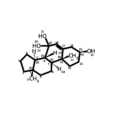 C[C@@]12CCC[C@H]1[C@H]1[C@H](CC2)[C@@]2(C)CC[C@H](O)CC2=CC1(O)O